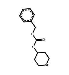 O=C(OCc1ccccc1)OC1CCNCC1